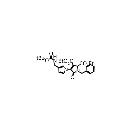 CCOC(=O)C1=C(n2ccc(CNC(=O)OC(C)(C)C)c2)C(=O)N(Cc2ccccc2)C1C(=O)OCC